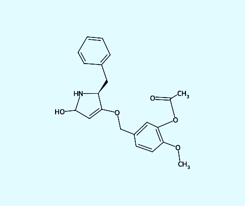 COc1ccc(COC2=CC(O)N[C@H]2Cc2ccccc2)cc1OC(C)=O